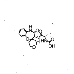 C[C@H](NC(=O)O)C(=O)NC1C(=O)Nc2ccccc2OC12CCOCC2